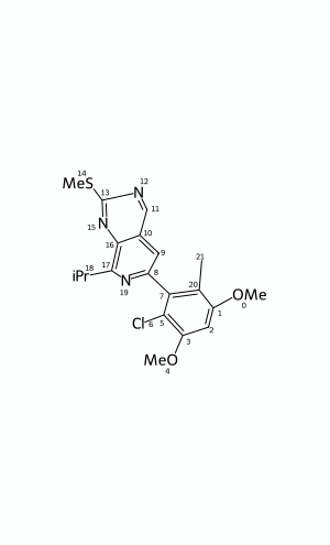 COc1cc(OC)c(Cl)c(-c2cc3cnc(SC)nc3c(C(C)C)n2)c1C